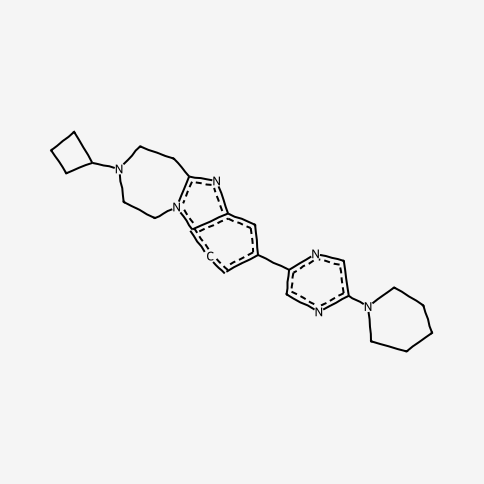 c1cc2c(cc1-c1cnc(N3CCCCC3)cn1)nc1n2CCN(C2CCC2)CC1